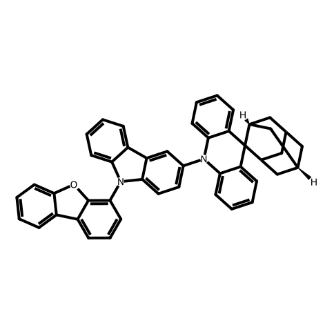 c1ccc2c(c1)N(c1ccc3c(c1)c1ccccc1n3-c1cccc3c1oc1ccccc13)c1ccccc1C21C2CC3C[C@H](C2)C[C@H]1C3